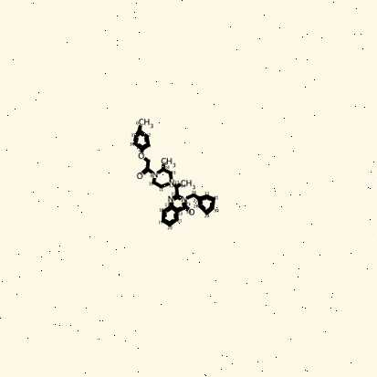 Cc1ccc(OCC(=O)N2CCN(C(C)c3nc4ccccc4c(=O)n3Cc3ccccc3)CC2C)cc1